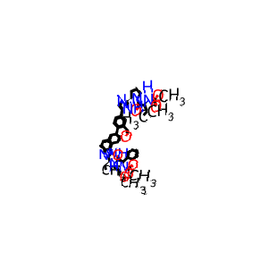 CC[C@@H](c1nc2ccc3cc4c(cc3c2[nH]1)OCc1cc(-c2cnc([C@@H]3CCCN3C(=O)[C@@H](NC(=O)OC)C(C)C)[nH]2)ccc1-4)N(CCCOC)C(=O)[C@H](NC(=O)OC)c1ccccc1